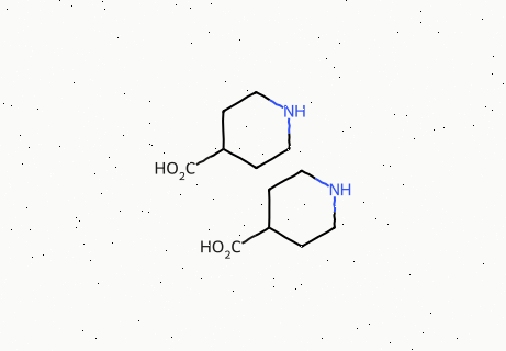 O=C(O)C1CCNCC1.O=C(O)C1CCNCC1